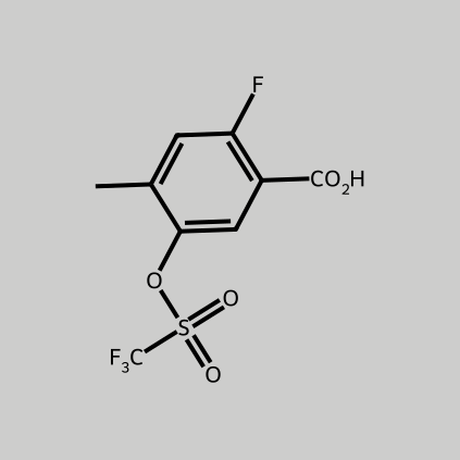 Cc1cc(F)c(C(=O)O)cc1OS(=O)(=O)C(F)(F)F